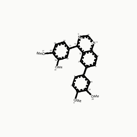 COc1ccc(-c2ccc3ncnc(-c4ccc(OC)c(OC)c4)c3c2)cc1OC